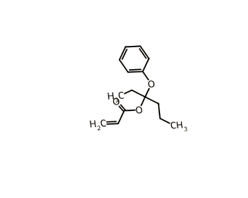 C=CC(=O)OC(CC)(CCC)Oc1ccccc1